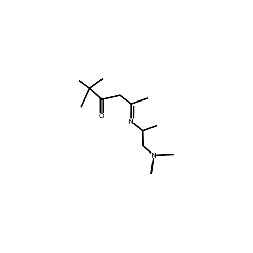 CC(CC(=O)C(C)(C)C)=NC(C)CN(C)C